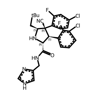 CC(C)(C)C[C@@H]1N[C@@H](C(=O)NCc2c[nH]cn2)[C@H](c2cccc(Cl)c2F)[C@@]1(C#N)c1ccc(Cl)cc1F